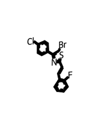 Fc1ccccc1C=Cc1nc(-c2ccc(Cl)cc2)c(Br)s1